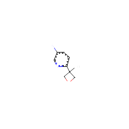 CC1(c2ccc(N)cn2)COC1